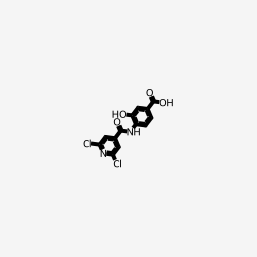 O=C(O)c1ccc(NC(=O)c2cc(Cl)nc(Cl)c2)c(O)c1